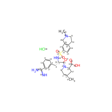 CC1=CCN(C(=O)[C@H](Cc2cccc(C(=N)N)c2)NS(=O)(=O)c2ccc3c(c2)CN(C)CC3)C(C(=O)O)C1.Cl